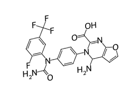 NC(=O)N(c1ccc(N2C(C(=O)O)=Nc3occc3C2N)cc1)c1cc(C(F)(F)F)ccc1F